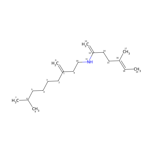 C=C(CCCCC(C)C)CCNC(=C)CC/C(C)=C/C